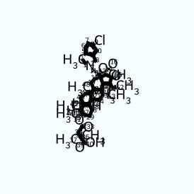 CCN(Cc1cccc(Cl)c1)C[C@H](OC(C)=O)[C@@]12CC[C@]3(C)[C@H](CC[C@@H]4[C@@]5(C)CC[C@H](OC(=O)CC(C)(C)C(=O)O)C(C)(C)[C@@H]5CC[C@]43C)C1=C(C(C)C)C(=O)C2